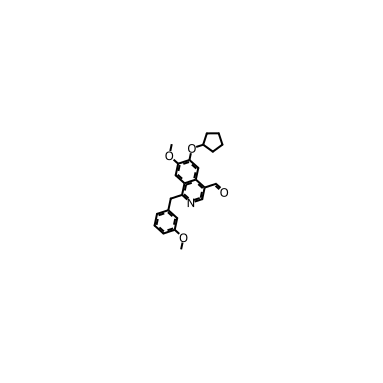 COc1cccc(Cc2ncc(C=O)c3cc(OC4CCCC4)c(OC)cc23)c1